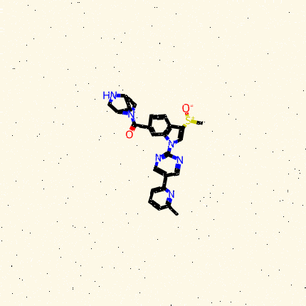 Cc1cccc(-c2cnc(-n3cc([S+](C)[O-])c4ccc(C(=O)N5CC6CC5CN6)cc43)nc2)n1